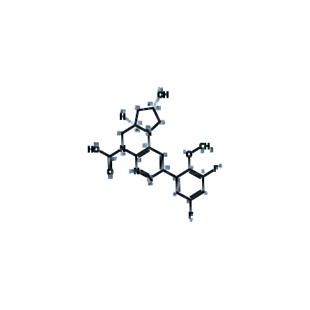 COc1c(F)cc(F)cc1-c1cc2c(nn1)N(C(=O)O)C[C@H]1C[C@H](O)CN21